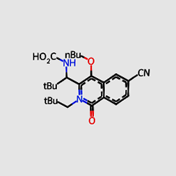 CCCCOc1c(C(NC(=O)O)C(C)(C)C)n(CC(C)(C)C)c(=O)c2ccc(C#N)cc12